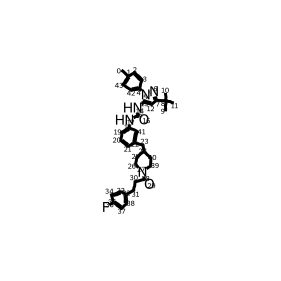 Cc1ccc(-n2nc(C(C)(C)C)cc2NC(=O)Nc2cccc(CC3CCN(C(=O)CCc4ccc(F)cc4)CC3)c2)cc1